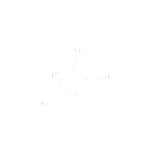 Cc1cc(C)c(C)[pH]1.[Sc]